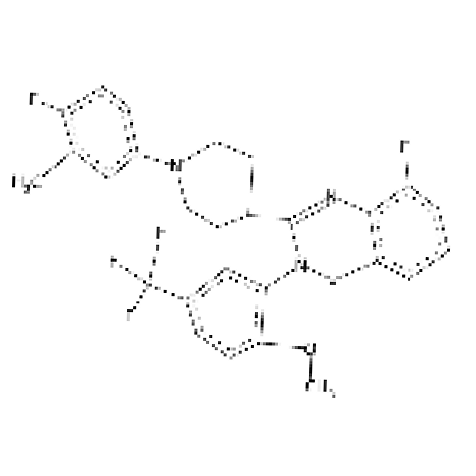 COc1ccc(C(F)(F)F)cc1N1[C]c2cccc(F)c2N=C1C1CCN(c2ccc(F)c(C)c2)CC1